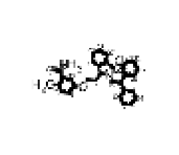 Cc1ccc(OCCCN(CC(c2ccccc2)c2ccccc2)C(Cl)(c2ccccc2)C(F)(F)F)cc1C(N)=O